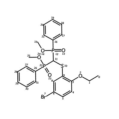 CCOc1ccc(Br)cc1SC(P(=O)(OC)c1ccccc1)P(=O)(OC)c1ccccc1